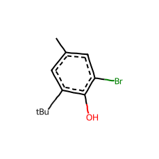 Cc1cc(Br)c(O)c(C(C)(C)C)c1